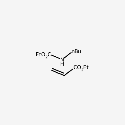 C=CC(=O)OCC.CCCCNC(=O)OCC